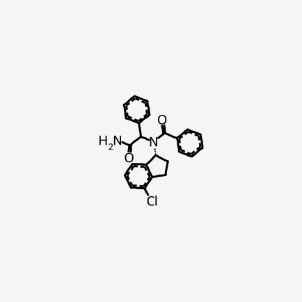 NC(=O)C(c1ccccc1)N(C(=O)c1ccccc1)[C@@H]1CCc2c(Cl)cccc21